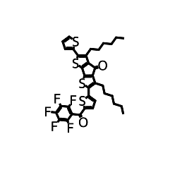 CCCCCCc1c(-c2cccs2)sc2c1C(=O)c1c-2sc(-c2ccc(C(=O)c3c(F)c(F)c(F)c(F)c3F)s2)c1CCCCCC